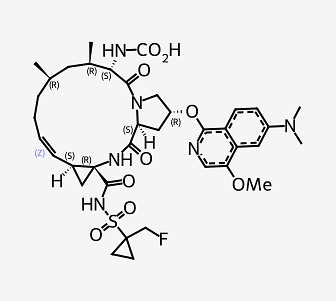 COc1cnc(O[C@@H]2C[C@H]3C(=O)N[C@]4(C(=O)NS(=O)(=O)C5(CF)CC5)C[C@H]4/C=C\CC[C@@H](C)C[C@@H](C)[C@H](NC(=O)O)C(=O)N3C2)c2ccc(N(C)C)cc12